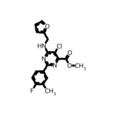 COC(=O)c1nc(-c2ccc(F)c(C)c2)nc(NCc2ccco2)c1Cl